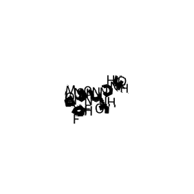 C=CC(=O)Nc1cc(Nc2cc(N3OCC[C@@H]3c3cc(F)cc(F)c3)ncn2)c(OC)nc1N1CCC(N2C[C@@H]3C[C@H]2CO3)CC1